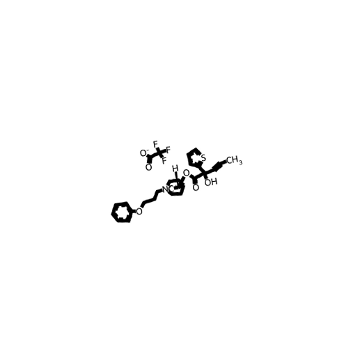 CC#CC(O)(C(=O)O[C@H]1C[N+]2(CCCOc3ccccc3)CCC1CC2)c1cccs1.O=C([O-])C(F)(F)F